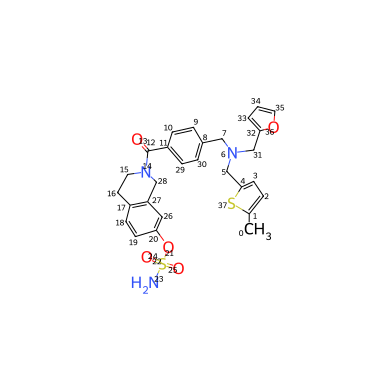 Cc1ccc(CN(Cc2ccc(C(=O)N3CCc4ccc(OS(N)(=O)=O)cc4C3)cc2)Cc2ccco2)s1